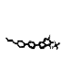 CCCCC1CCC(c2ccc(-c3ccc4c(F)c(OC(F)(F)F)c(F)cc4c3)cc2)CC1